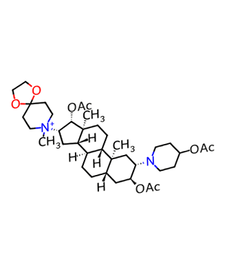 CC(=O)OC1CCN([C@H]2C[C@@]3(C)[C@@H](CC[C@@H]4[C@@H]3CC[C@@]3(C)[C@H]4C[C@H]([N+]4(C)CCC5(CC4)OCCO5)[C@@H]3OC(C)=O)C[C@@H]2OC(C)=O)CC1